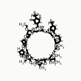 CCO[C@@H]1C[C@H]2C(=O)NC3(CCC3)C(=O)N(C)[C@@H](C3CCCC3)C(=O)N(C)[C@H](C(=O)N(C)C)CC(=O)N(C)[C@@H](CC(C)C)C(=O)N[C@@H]([C@@H](C)CC)C(=O)N(C)CC(=O)N(C)[C@H]3C/C=C\CCN(C3=O)[C@@H](Cc3ccc(C(F)(F)F)cc3)C(=O)N(C)CC(=O)N[C@@H](CCc3cc(F)c(C(F)(F)F)c(F)c3)C(=O)N2C1